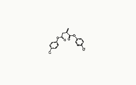 C=C(CC(=O)Oc1ccc(Cl)cc1)C(=O)Oc1ccc(Cl)cc1